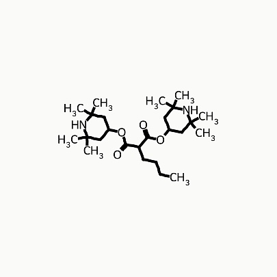 CCCCC(C(=O)OC1CC(C)(C)NC(C)(C)C1)C(=O)OC1CC(C)(C)NC(C)(C)C1